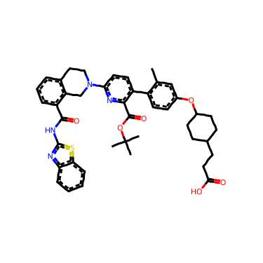 Cc1cc(OC2CCC(CCC(=O)O)CC2)ccc1-c1ccc(N2CCc3cccc(C(=O)Nc4nc5ccccc5s4)c3C2)nc1C(=O)OC(C)(C)C